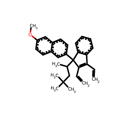 C=CC1=C(C=C)C(c2ccc3cc(OC)ccc3c2)(C(C)CC(C)(C)C)c2ccccc21